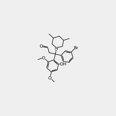 COc1cc(O)c(C(CC=O)(c2cccc(Br)c2)N2CC(C)CC(C)C2)c(OC)c1